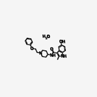 Cc1[nH]c2ccc(O)cc2c1C(=O)NC1CCN(CCOc2ccccc2)CC1.O